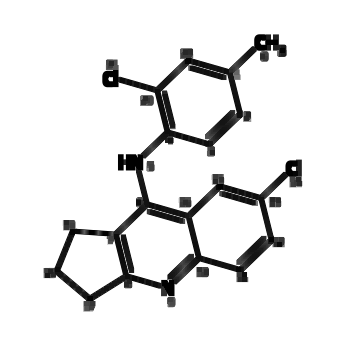 Cc1ccc(Nc2c3c(nc4ccc(Cl)cc24)CCC3)c(Cl)c1